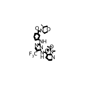 C[C@H]1COCCN1C(=O)c1cccc(Nc2ncc(C(F)(F)F)c(NCc3cccnc3N(C)S(C)(=O)=O)n2)c1